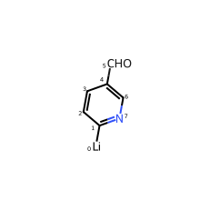 [Li][c]1ccc(C=O)cn1